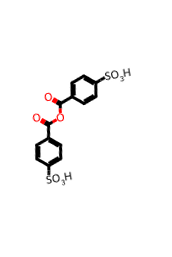 O=C(OC(=O)c1ccc(S(=O)(=O)O)cc1)c1ccc(S(=O)(=O)O)cc1